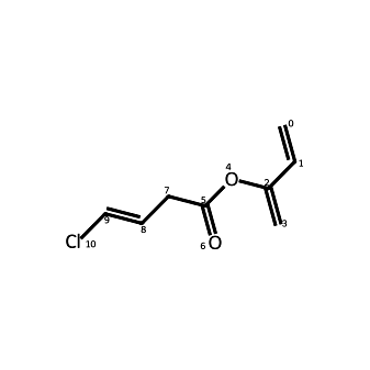 C=CC(=C)OC(=O)CC=CCl